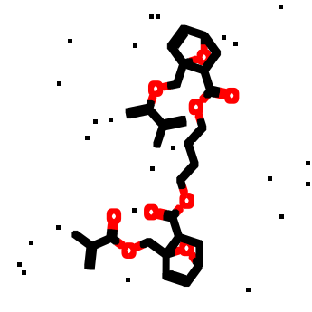 C=C(C)C(=C)OCC12C=CC(CC1C(=O)OCCCCOC(=O)C1CC3C=CC1(COC(=O)C(=C)C)O3)O2